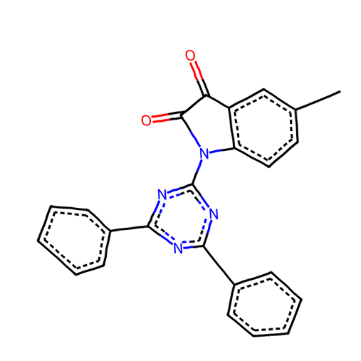 Cc1ccc2c(c1)C(=O)C(=O)N2c1nc(-c2ccccc2)nc(-c2ccccc2)n1